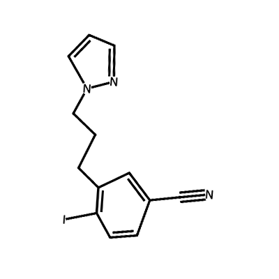 N#Cc1ccc(I)c(CCCn2cccn2)c1